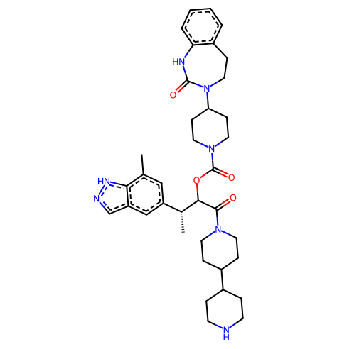 Cc1cc([C@@H](C)C(OC(=O)N2CCC(N3CCc4ccccc4NC3=O)CC2)C(=O)N2CCC(C3CCNCC3)CC2)cc2cn[nH]c12